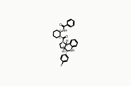 O=C(N[C@@H]1CCCC[C@@H]1C(=O)N1CC[C@H]2[C@@H](c3ccc(F)cc3)Nc3ccccc3[C@H]21)c1ccccc1